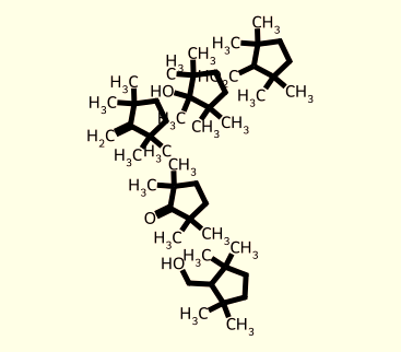 C=C1C(C)(C)CCC1(C)C.CC1(C)CCC(C)(C)C1(C)O.CC1(C)CCC(C)(C)C1=O.CC1(C)CCC(C)(C)C1C(=O)O.CC1(C)CCC(C)(C)C1CO